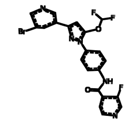 O=C(Nc1ccc(-n2nc(-c3cncc(Br)c3)cc2OC(F)F)cc1)c1ccncc1F